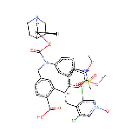 COc1ccc([C@H](Cc2c(Cl)c[n+]([O-])cc2Cl)c2cc(CN(C(=O)O[C@H]3CN4CCC3CC4)c3ccc(NS(C)(=O)=O)cc3)ccc2C(=O)O)cc1OC